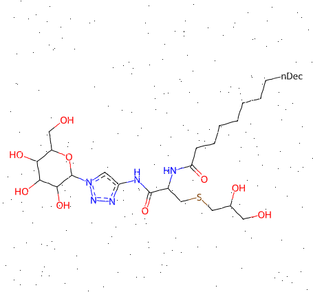 CCCCCCCCCCCCCCCCCC(=O)NC(CSCC(O)CO)C(=O)Nc1cn(C2OC(CO)C(O)C(O)C2O)nn1